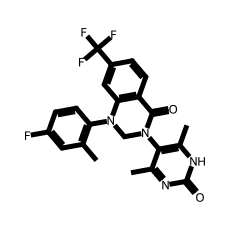 Cc1cc(F)ccc1N1CN(c2c(C)nc(=O)[nH]c2C)C(=O)c2ccc(C(F)(F)F)cc21